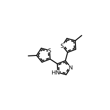 Cc1csc(-c2nc[nH]c2-c2cc(C)cs2)c1